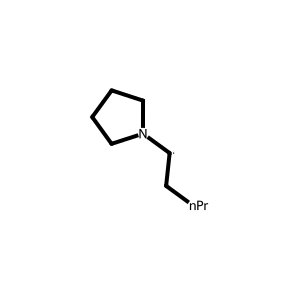 CCCC[CH]N1CCCC1